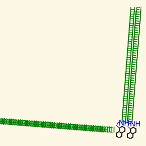 Cl.Cl.Cl.Cl.Cl.Cl.Cl.Cl.Cl.Cl.Cl.Cl.Cl.Cl.Cl.Cl.Cl.Cl.Cl.Cl.Cl.Cl.Cl.Cl.Cl.Cl.Cl.Cl.Cl.Cl.Cl.Cl.Cl.Cl.Cl.Cl.Cl.Cl.Cl.Cl.Cl.Cl.Cl.Cl.Cl.Cl.Cl.Cl.Cl.Cl.Cl.Cl.Cl.Cl.Cl.Cl.Cl.Cl.Cl.Cl.Cl.Cl.Cl.Cl.Cl.Cl.Cl.Cl.Cl.Cl.Cl.Cl.Cl.Cl.Cl.Cl.Cl.Cl.Cl.Cl.Cl.Cl.Cl.Cl.Cl.Cl.Cl.Cl.Cl.Cl.Cl.Cl.Cl.Cl.Cl.Cl.Cl.Cl.Cl.c1ccc2c3c(ccc2c1)NCC3.c1ccc2c3c(ccc2c1)NCC3